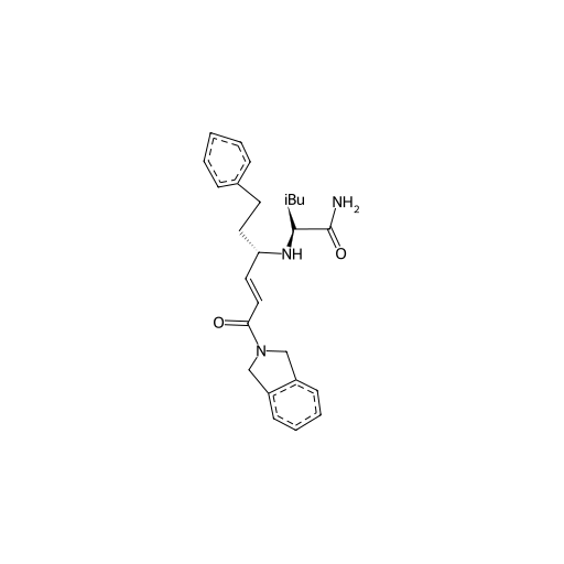 CC[C@H](C)[C@H](N[C@H](/C=C/C(=O)N1Cc2ccccc2C1)CCc1ccccc1)C(N)=O